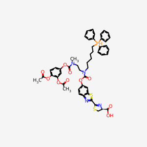 CC(=O)Oc1ccc(OC(=O)N(C)CCN(CCCCCC[PH](c2ccccc2)(c2ccccc2)c2ccccc2)C(=O)Oc2ccc3nc(C4=N[C@@H](C(=O)O)CS4)sc3c2)cc1OC(C)=O